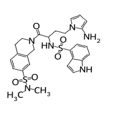 CN(C)S(=O)(=O)c1ccc2c(c1)CN(C(=O)C(CCn1cccc1N)NS(=O)(=O)c1cccc3[nH]ccc13)CC2